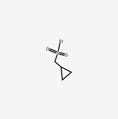 [CH2]CS(=O)(=O)CC1CC1